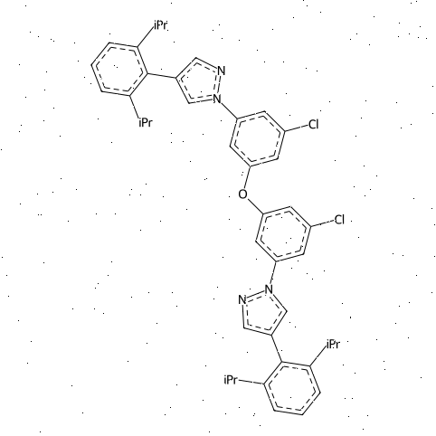 CC(C)c1cccc(C(C)C)c1-c1cnn(-c2cc(Cl)cc(Oc3cc(Cl)cc(-n4cc(-c5c(C(C)C)cccc5C(C)C)cn4)c3)c2)c1